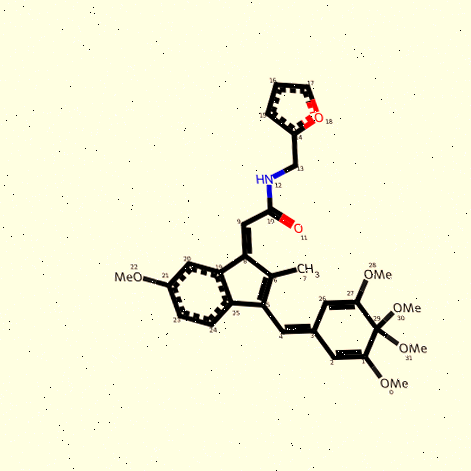 COC1=CC(=CC2=C(C)C(=CC(=O)NCc3ccco3)c3cc(OC)ccc32)C=C(OC)C1(OC)OC